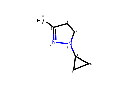 CC1=NN(C2CC2)CC1